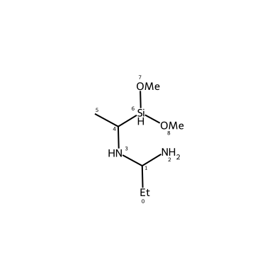 CCC(N)NC(C)[SiH](OC)OC